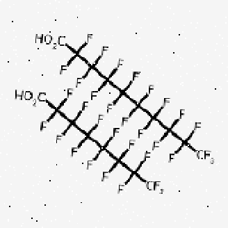 O=C(O)C(F)(F)C(F)(F)C(F)(F)C(F)(F)C(F)(F)C(F)(F)C(F)(F)C(F)(F)C(F)(F)F.O=C(O)C(F)(F)C(F)(F)C(F)(F)C(F)(F)C(F)(F)C(F)(F)C(F)(F)F